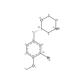 COc1ccc(C[C@H]2CNCCO2)cc1Br